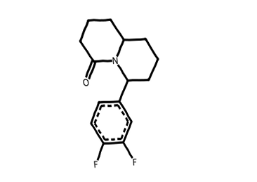 O=C1CCCC2CCCC(c3ccc(F)c(F)c3)N12